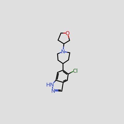 Clc1cc2cn[nH]c2cc1C1CCN(C2CCOC2)CC1